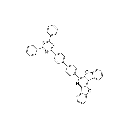 c1ccc(-c2nc(-c3ccccc3)nc(-c3ccc(-c4ccc(-c5nc6c7ccccc7oc6c6c5oc5ccccc56)cc4)cc3)n2)cc1